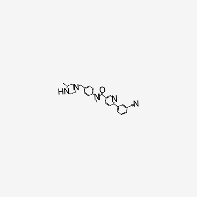 C[C@H]1CN(Cc2ccc(N(C)C(=O)c3ccc(-c4cccc(C#N)c4)nc3)cc2)CCN1